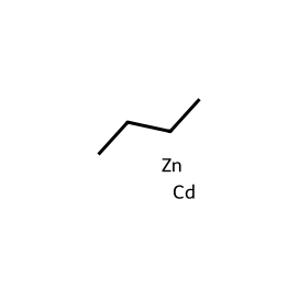 CCCC.[Cd].[Zn]